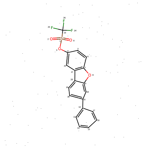 O=S(=O)(Oc1ccc2oc3cc(-c4ccccc4)ccc3c2c1)C(F)(F)F